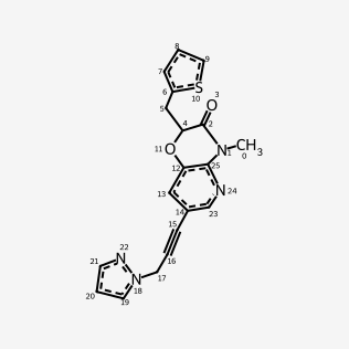 CN1C(=O)C(Cc2cccs2)Oc2cc(C#CCn3cccn3)cnc21